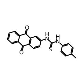 Cc1ccc(NC(=S)Nc2ccc3c(c2)C(=O)c2ccccc2C3=O)cc1